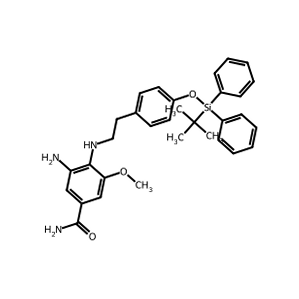 COc1cc(C(N)=O)cc(N)c1NCCc1ccc(O[Si](c2ccccc2)(c2ccccc2)C(C)(C)C)cc1